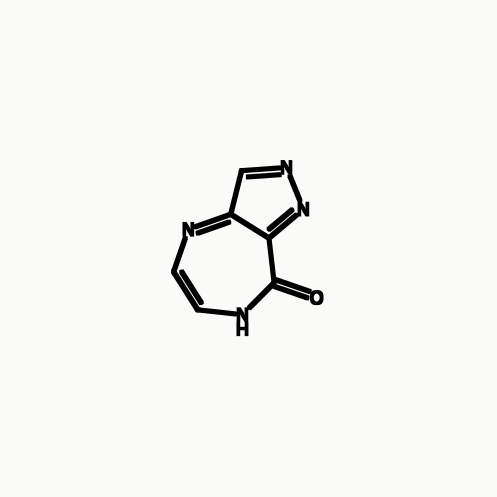 O=c1[nH]ccnc2cnnc1-2